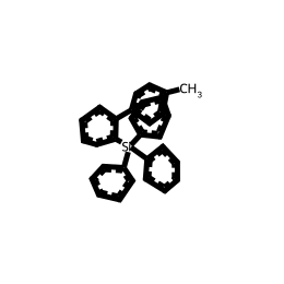 Cc1ccc(-c2ccccc2[Si](c2ccccc2)(c2ccccc2)c2ccccc2)cc1